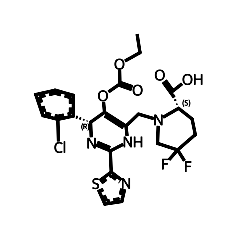 CCOC(=O)OC1=C(CN2CC(F)(F)CC[C@H]2C(=O)O)NC(c2nccs2)=N[C@@H]1c1ccccc1Cl